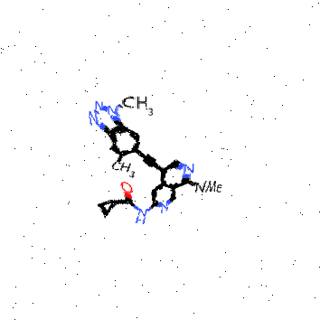 CNc1ncc(C#Cc2cc3c(cc2C)nnn3C)c2cc(NC(=O)C3CC3)ncc12